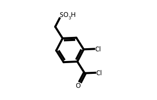 O=C(Cl)c1ccc(CS(=O)(=O)O)cc1Cl